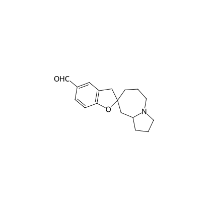 O=Cc1ccc2c(c1)CC1(CCCN3CCCC3C1)O2